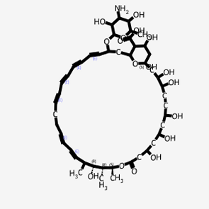 CC1OC(OC2/C=C/C=C/C=C/C=C/CC/C=C/C=C/C(C)[C@@H](O)[C@@H](C)[C@H](C)OC(=O)CC(O)CC(O)CC(O)CCC(O)C(O)C[C@]3(O)CC(O)C(C(=O)O)C(C2)O3)C(O)C(N)C1O